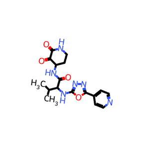 CC(C)C(Nc1nnc(-c2ccncc2)o1)C(=O)NC1CCNC(=O)C1=O